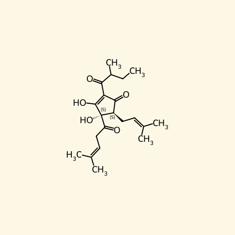 CCC(C)C(=O)C1=C(O)[C@](O)(C(=O)CC=C(C)C)[C@H](CC=C(C)C)C1=O